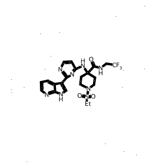 CCS(=O)(=O)N1CCC(Nc2ccnc(-c3c[nH]c4ncccc34)n2)(C(=O)NCC(F)(F)F)CC1